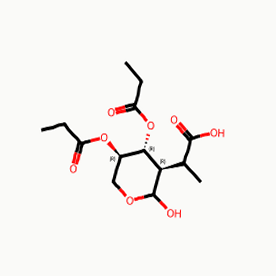 CCC(=O)O[C@@H]1[C@@H](C(C)C(=O)O)C(O)OC[C@H]1OC(=O)CC